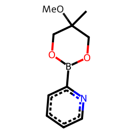 COC1(C)COB(c2ccccn2)OC1